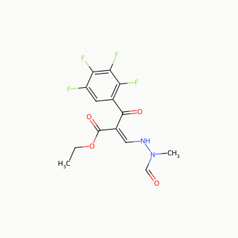 CCOC(=O)/C(=C/NN(C)C=O)C(=O)c1cc(F)c(F)c(F)c1F